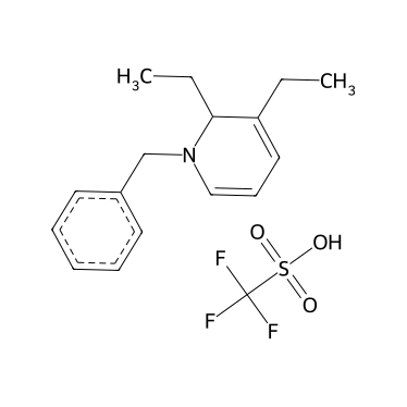 CCC1=CC=CN(Cc2ccccc2)C1CC.O=S(=O)(O)C(F)(F)F